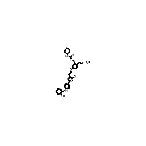 Cc1ccccc1Nc1ccc(-c2nc(CCOc3ccc(CCC(=O)O)c(COC(=O)NC4CCCCC4)c3)c(C)o2)cc1